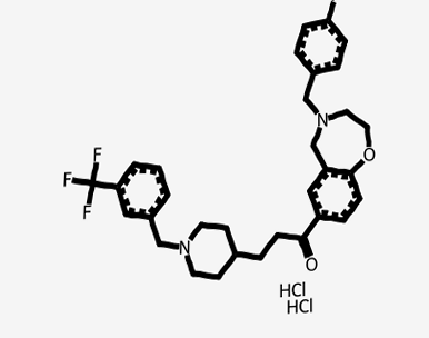 Cl.Cl.O=C(CCC1CCN(Cc2cccc(C(F)(F)F)c2)CC1)c1ccc2c(c1)CN(Cc1ccc(F)cc1)CCO2